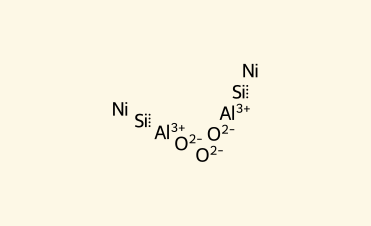 [Al+3].[Al+3].[Ni].[Ni].[O-2].[O-2].[O-2].[Si].[Si]